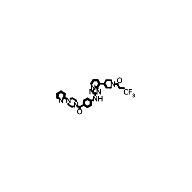 O=C(CCC(F)(F)F)N1CC=C(c2cccn3nc(Nc4ccc(C(=O)N5CCN(c6ccccn6)CC5)cc4)nc23)CC1